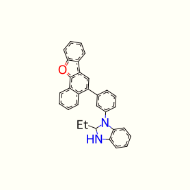 CCC1Nc2ccccc2N1c1cccc(-c2cc3c4ccccc4oc3c3ccccc23)c1